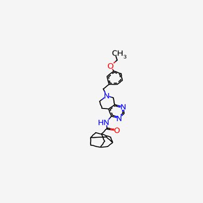 CCOc1cccc(CN2CCc3c(ncnc3NC(=O)C34CC5CC(CC(C5)C3)C4)C2)c1